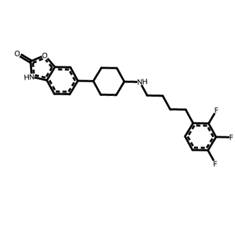 O=c1[nH]c2ccc(C3CCC(NCCCCc4ccc(F)c(F)c4F)CC3)cc2o1